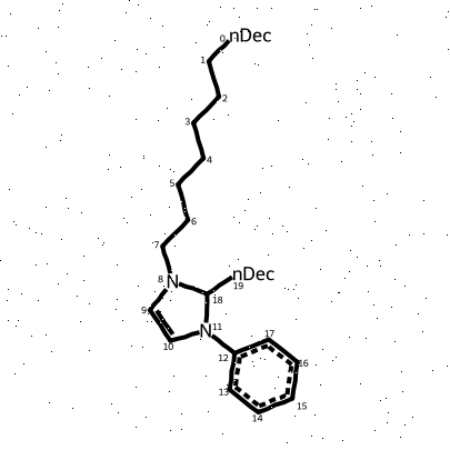 CCCCCCCCCCCCCCCCCN1C=CN(c2ccccc2)C1CCCCCCCCCC